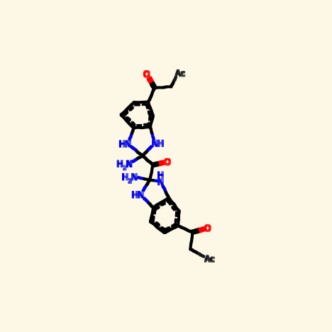 CC(=O)CC(=O)c1ccc2c(c1)NC(N)(C(=O)C1(N)Nc3ccc(C(=O)CC(C)=O)cc3N1)N2